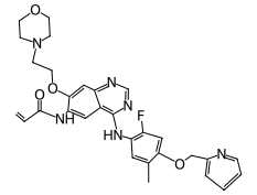 C=CC(=O)Nc1cc2c(Nc3cc(C)c(OCc4ccccn4)cc3F)ncnc2cc1OCCN1CCOCC1